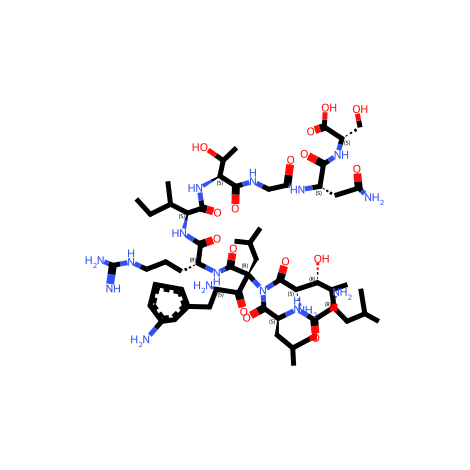 CCC(C)[C@H](NC(=O)[C@@H](CCCNC(=N)N)NC(=O)[C@@](CC(C)C)(C(=O)[C@@H](N)Cc1cccc(N)c1)N(C(=O)[C@H](CC(C)C)NC(=O)[C@H](N)CC(C)C)C(=O)[C@@H](N)[C@H](O)C(C)C)C(=O)N[C@H](C(=O)NCC(=O)N[C@@H](CC(N)=O)C(=O)N[C@@H](CO)C(=O)O)C(C)O